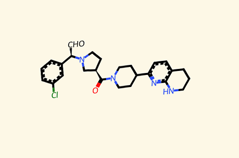 O=C[C@H](c1cccc(Cl)c1)N1CC[C@@H](C(=O)N2CCC(c3ccc4c(n3)NCCC4)CC2)C1